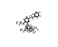 CC1(C)OB(c2cc(OCc3ccccc3)ccc2CC(F)(F)F)OC1(C)C